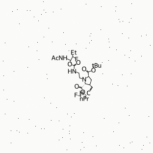 C=C[C@@H]1C[C@H](C(=O)OC(C)(C)C)N(CCNC(=O)OC(NC(C)=O)C(F)CC)[C@H]1C(=O)OC(F)CCC